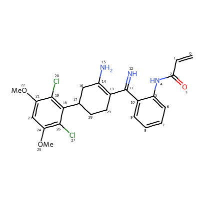 C=CC(=O)Nc1ccccc1C(=N)C1=C(N)CC(c2c(Cl)c(OC)cc(OC)c2Cl)CC1